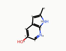 Cc1cc2cc(O)cnc2[nH]1